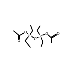 C[CH2][Sn]([CH2]C)([O]C(C)=O)[O][Sn]([CH2]C)([CH2]C)[O]C(C)=O